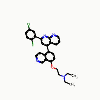 CCN(CC)CCOc1ccc(-c2cc(-c3cc(Cl)ccc3F)nc3ncccc23)c2ccncc12